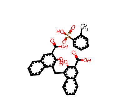 Cc1ccccc1S(=O)(=O)O.O=C(O)c1cc2ccccc2c(Cc2c(O)c(C(=O)O)cc3ccccc23)c1O